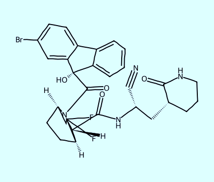 N#C[C@H](C[C@H]1CCCNC1=O)NC(=O)[C@@H]1[C@H]2CC[C@H](CC2(F)F)N1C(=O)[C@]1(O)c2ccccc2-c2ccc(Br)cc21